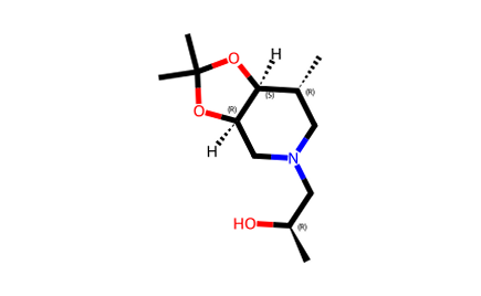 C[C@@H]1CN(C[C@@H](C)O)C[C@H]2OC(C)(C)O[C@@H]12